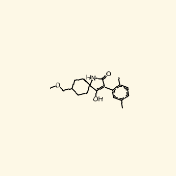 COCC1CCC2(CC1)NC(=O)C(c1cc(C)ccc1C)=C2O